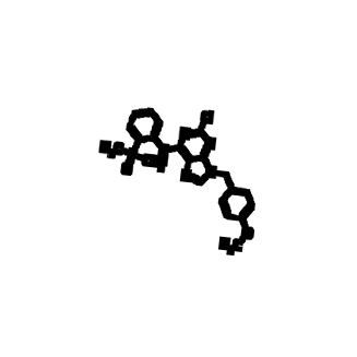 COc1ccc(Cn2cnc3c(Nc4ccccc4P(C)(C)=O)nc(Cl)nc32)cc1